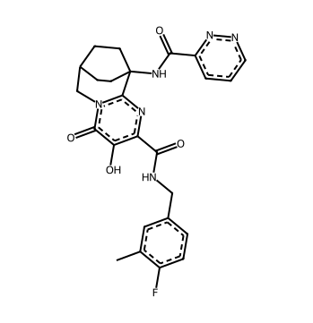 Cc1cc(CNC(=O)c2nc3n(c(=O)c2O)CC2CCC3(NC(=O)c3cccnn3)CC2)ccc1F